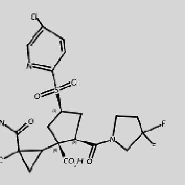 N#CC1(C(N)=O)CC1[C@]1(C(=O)O)C[C@@H](S(=O)(=O)c2ccc(Cl)cn2)C[C@H]1C(=O)N1CCC(F)(F)C1